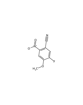 COc1cc([N+](=O)[O-])c(C#N)cc1F